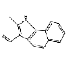 C=CC1=C(C)Bc2c1ccc1ccccc21